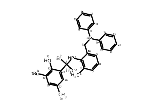 CCC(C)(Pc1c(C)cccc1CP(c1ccccc1)c1ccccc1)c1cc(C)cc(C(C)(C)C)c1O